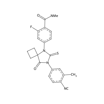 [C-]#[N+]c1ccc(N2C(=O)C3(CCC3)N(c3ccc(C(=O)NC)c(F)c3)C2=S)cc1C